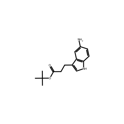 CC(C)(C)OC(=O)CCc1c[nH]c2ccc(N)cc12